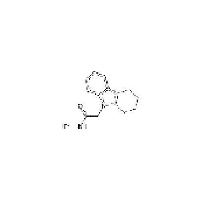 CC(C)NC(=O)Cn1c2c(c3ccccc31)CCCC2